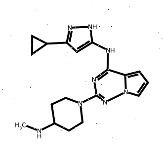 CNC1CCN(c2nc(Nc3cc(C4CC4)n[nH]3)c3cccn3n2)CC1